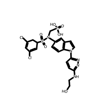 O=P(O)(O)CN(c1ccc2c(ccn2-c2ccc(NCCO)nn2)c1)S(=O)(=O)C1C=C(Cl)C=C(Cl)C1